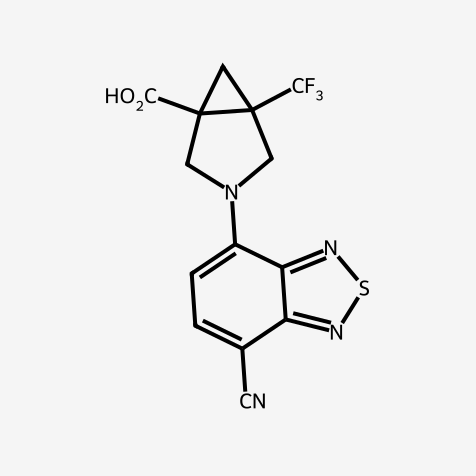 N#Cc1ccc(N2CC3(C(=O)O)CC3(C(F)(F)F)C2)c2nsnc12